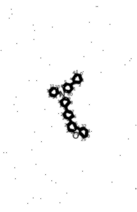 c1ccc(-c2ccc(N(c3ccccc3)c3ccc(-c4ccc(-c5ccc6oc7ccccc7c6c5)cc4)cc3)cc2)cc1